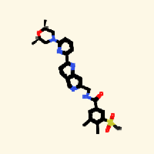 Cc1cc(C(=O)NCc2cc3nc(-c4cccc(N5C[C@@H](C)O[C@@H](C)C5)n4)ccc3cn2)cc(S(=O)(=O)C(C)C)c1C